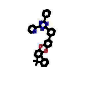 CC1(C)c2ccccc2-c2c1ccc1c2Oc2ccc(-c3cccc(-c4nc(-c5ccccc5)nc(-c5ccccn5)n4)c3)cc2O1